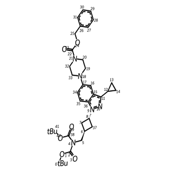 CC(C)(C)OC(=O)N(C[C@H]1C[C@H](n2nc(C3CC3)c3cc(N4CCN(C(=O)OCc5ccccc5)CC4)ccc32)C1)C(=O)OC(C)(C)C